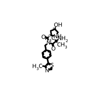 Cc1ncsc1-c1ccc(CN(C(=O)[C@@H]2C[C@@H](O)CN2)C(=O)C(C)(C)N)cc1